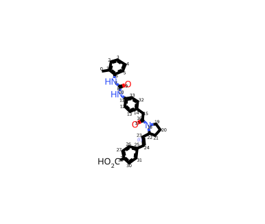 Cc1ccccc1NC(=O)Nc1ccc(CC(=O)N2CCCC2/C=C/c2ccc(C(=O)O)cc2)cc1